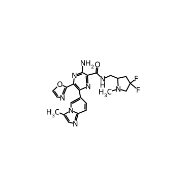 Cc1cnc2ccc(-c3nc(C(=O)NCC4CC(F)(F)CN4C)c(N)nc3-c3ncco3)cn12